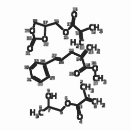 C=C(C)C(=O)OCC(C)O.C=C(C)C(=O)OCC1COC(=O)O1.C=C(CC=Cc1ccccc1)C(=O)OC